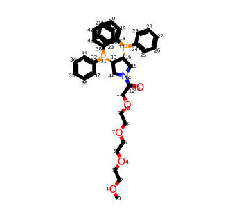 COCCOCCOCCOCC(=O)N1C[C@@H](P(c2ccccc2)c2ccccc2)[C@H](P(c2ccccc2)c2ccccc2)C1